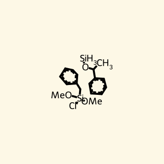 CC(O[SiH3])c1ccccc1.CO[Si](Cl)(Cc1ccccc1)OC